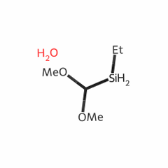 CC[SiH2]C(OC)OC.O